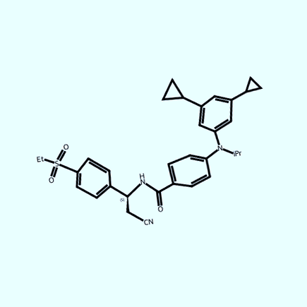 CCS(=O)(=O)c1ccc([C@H](CC#N)NC(=O)c2ccc(N(c3cc(C4CC4)cc(C4CC4)c3)C(C)C)cc2)cc1